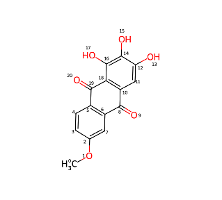 COc1ccc2c(c1)C(=O)c1cc(O)c(O)c(O)c1C2=O